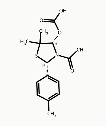 CC(=O)N1[C@@H](OC(=O)O)C(C)(C)S[C@H]1c1ccc(C)cc1